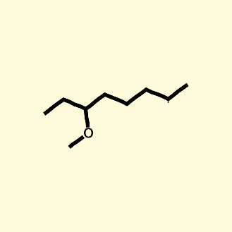 C[CH]CCCC(CC)OC